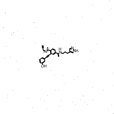 C#C/C=N\N(C)c1ccc(C(=C)NCCCc2cn[nH]c2)cc1C#Cc1cccc(O)c1